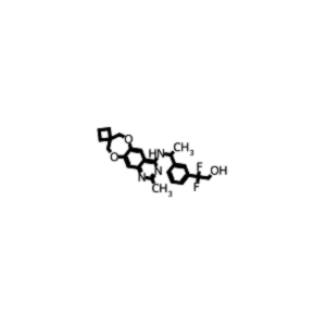 Cc1nc(NC(C)c2cccc(C(F)(F)CO)c2)c2cc3c(cc2n1)OCC1(CCC1)CO3